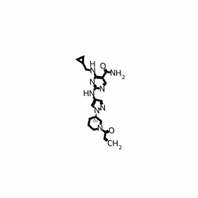 C=CC(=O)N1CCC[C@H](n2cc(Nc3ncc(C(N)=O)c(NCC4CC4)n3)cn2)C1